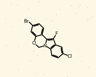 Fc1c2n(c3ccc(Cl)cc13)COc1cc(Br)ccc1-2